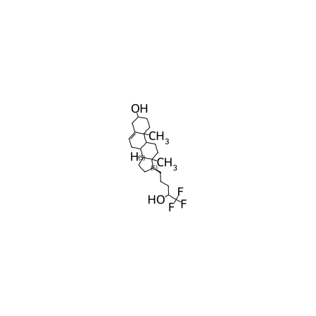 CC12CCC(O)CC1=CCC1C2CCC2(C)[C@@H](CCCC(O)C(F)(F)F)CC[C@@H]12